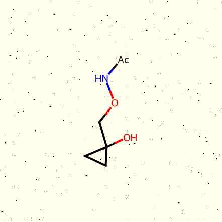 CC(=O)NOCC1(O)CC1